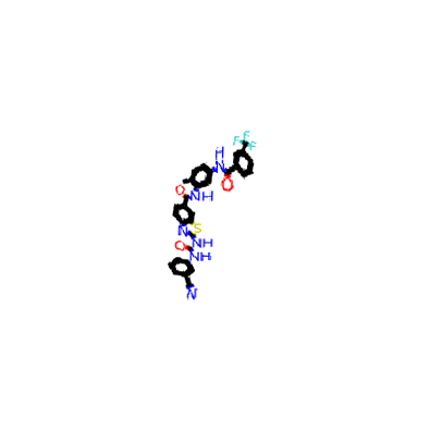 Cc1ccc(NC(=O)c2cccc(C(F)(F)F)c2)cc1NC(=O)c1ccc2nc(NC(=O)Nc3cccc(C#N)c3)sc2c1